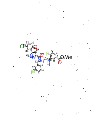 COC(=O)c1ccc(F)c(NCCN(Cc2cccc(F)c2)C(=O)c2nn(C)c3c2COc2ccc(Cl)cc2-3)c1